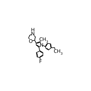 CCc1ccc(-n2c(-c3ccc(F)cc3)cc(C3CNCCO3)c2C)cc1